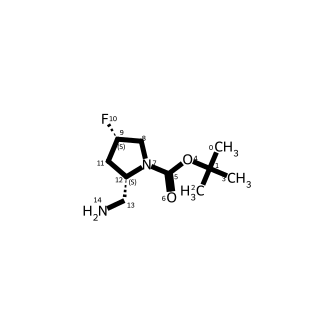 CC(C)(C)OC(=O)N1C[C@@H](F)C[C@H]1CN